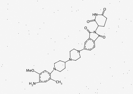 COc1cc(N2CCC(N3CCN(c4ccc5c(c4)C(=O)N(C4CCC(=O)NC4=O)C5=O)CC3)CC2)c(C)cc1N